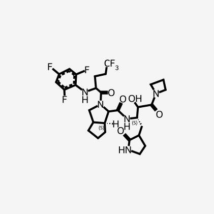 O=C1NCCC1C[C@H](NC(=O)C1[C@H]2CCCC2CN1C(=O)C(CCC(F)(F)F)Nc1c(F)cc(F)cc1F)C(O)C(=O)N1CCC1